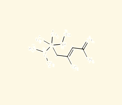 C=C(C)C=C(C)[CH2][Ti]([CH3])([CH3])([NH]C(C)(C)C)[SiH](C)C